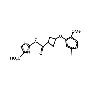 COc1ccc(C)cc1OC1CC(C(=O)Nc2nc(C(=O)O)co2)C1